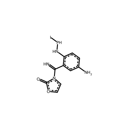 N=C(c1cc(N)ccc1NPI)n1ccoc1=O